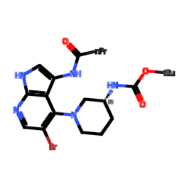 CCCC(=O)Nc1c[nH]c2ncc(Br)c(N3CCC[C@@H](NC(=O)OC(C)(C)C)C3)c12